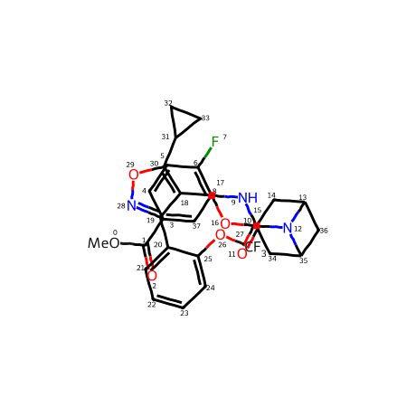 COC(=O)c1ccc(F)c(NC(=O)N2C3CC(OCc4c(-c5ccccc5OC(F)(F)F)noc4C4CC4)CC2C3)c1